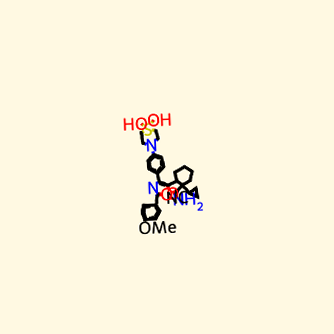 COc1ccc(-c2nc(-c3ccc(N4CCS(O)(O)CC4)cc3)c(C3CCCCC3(C(N)=O)C3(C#N)CC3)o2)cc1